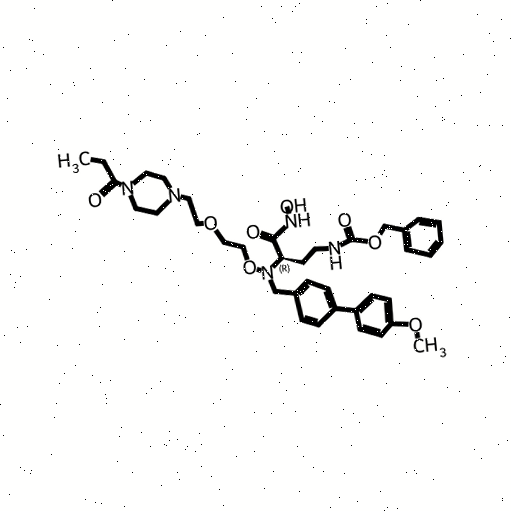 CCC(=O)N1CCN(CCOCCON(Cc2ccc(-c3ccc(OC)cc3)cc2)[C@H](CCNC(=O)OCc2ccccc2)C(=O)NO)CC1